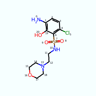 Nc1ccc(Cl)c(S(=O)(=O)NCCN2CCOCC2)c1O